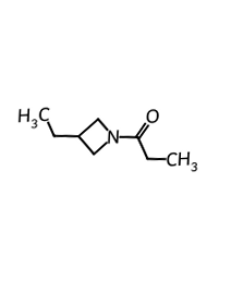 CCC(=O)N1CC(CC)C1